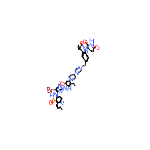 CCc1cc(Nc2ncc(Br)c(Nc3ccc4nc(C)ccc4c3P(C)(C)=O)n2)c(OC)cc1N1CCC(N2CCN(CCc3ccc4c(c3)C3(CC3)C(=O)N4C3CCC(=O)NC3=O)CC2)CC1